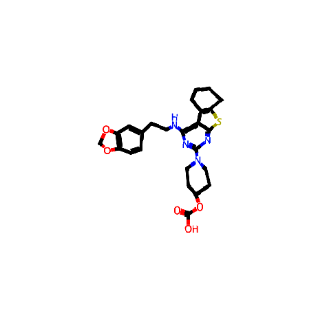 O=C(O)OC1CCN(c2nc(NCCc3ccc4c(c3)OCO4)c3c4c(sc3n2)CCCC4)CC1